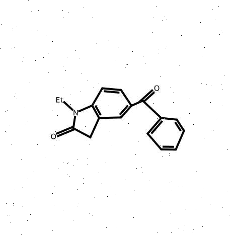 CCN1C(=O)Cc2cc(C(=O)c3ccccc3)ccc21